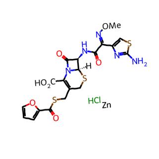 CON=C(C(=O)N[C@@H]1C(=O)N2C(C(=O)O)=C(CSC(=O)c3ccco3)CS[C@H]12)c1csc(N)n1.Cl.[Zn]